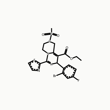 CCOC(=O)C1=C2CN(S(C)(=O)=O)CCN2C(c2nccs2)=NC1c1ccc(F)cc1Br